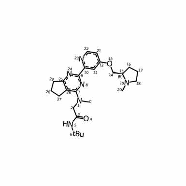 CN(CC(=O)NC(C)(C)C)c1nc(-c2cc(OC[C@H]3CCCN3C)ccn2)nc2c1CCC2